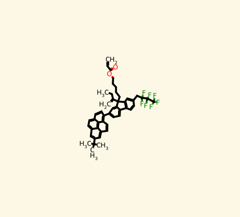 C=CC(=O)OCCCCCC1(C(=C)CC)c2cc(CC(F)(F)C(F)(F)C(F)(F)F)ccc2-c2ccc(-c3ccc4ccc5cc(C(C)(C)C)cc6ccc3c4c56)cc21